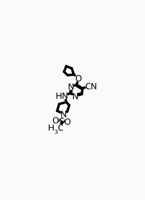 CS(=O)(=O)N1CCC(Nc2ncc(C#N)c(OC3CCCC3)n2)CC1